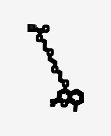 CCC(=O)OCCOCCOCCOc1cc(=S)oc2c(C)cccc12